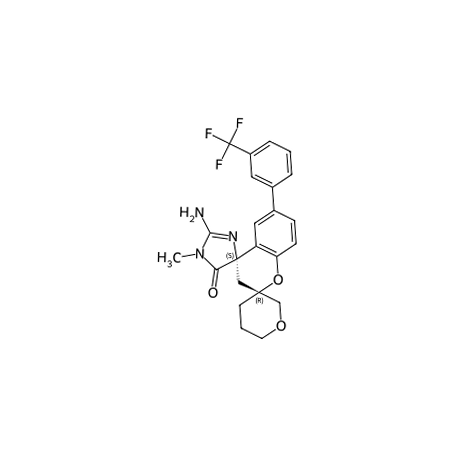 CN1C(=O)[C@@]2(C[C@@]3(CCCOC3)Oc3ccc(-c4cccc(C(F)(F)F)c4)cc32)N=C1N